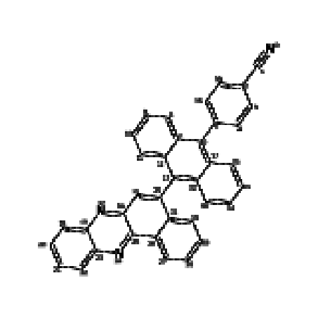 N#Cc1ccc(-c2c3ccccc3c(-c3cc4nc5ccccc5nc4c4ccccc34)c3ccccc23)cc1